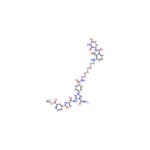 CC(C)(C)OC(=O)c1cc(-c2nc(C(=O)Nc3cn(-c4ccc(C(=O)NCCOCCOCCNc5cccc6c5C(=O)N(C5CCC(=O)NC5=O)C6=O)cc4)nc3C(N)=O)co2)ccn1